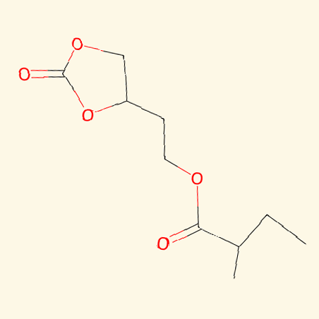 CCC(C)C(=O)OCCC1COC(=O)O1